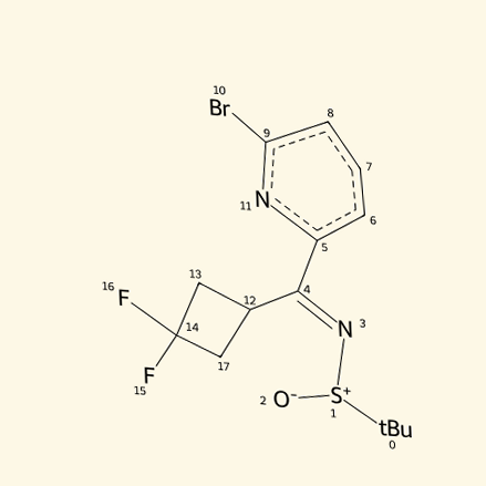 CC(C)(C)[S+]([O-])N=C(c1cccc(Br)n1)C1CC(F)(F)C1